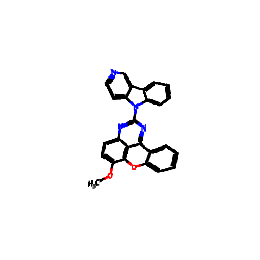 COc1ccc2nc(-n3c4ccccc4c4cnccc43)nc3c2c1Oc1ccccc1-3